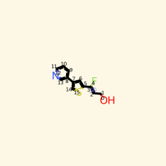 OC/C=C(\F)c1cc(-c2cccnc2)cs1